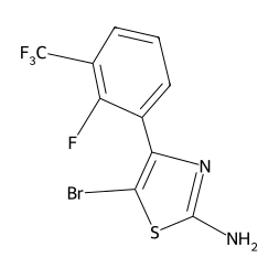 Nc1nc(-c2cccc(C(F)(F)F)c2F)c(Br)s1